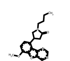 CCCCN1CC(c2ccc(OC)c3oc4cncnc4c23)CC1=O